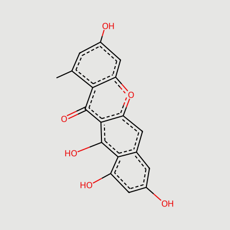 Cc1cc(O)cc2oc3cc4cc(O)cc(O)c4c(O)c3c(=O)c12